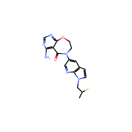 CC(F)Cn1ccc2cc(N3CCOc4ncnc(N)c4C3=O)cnc21